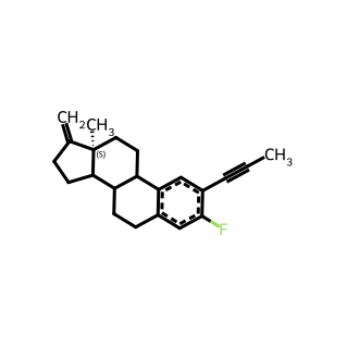 C=C1CCC2C3CCc4cc(F)c(C#CC)cc4C3CC[C@]12C